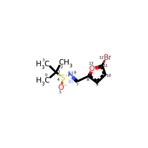 CC(C)(C)[S+]([O-])/N=C/c1ccc(Br)o1